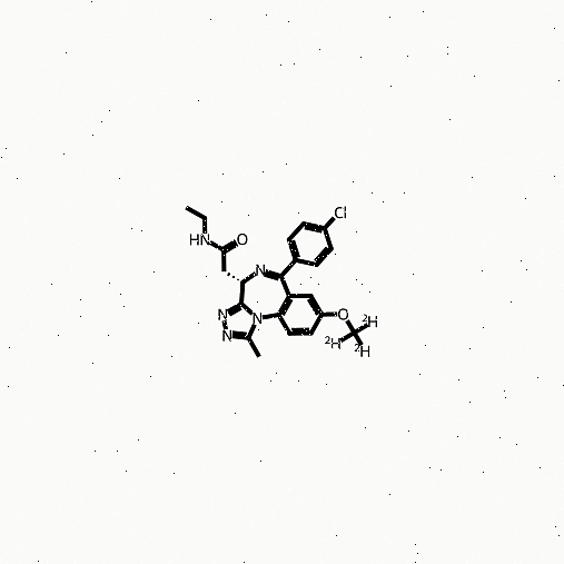 [2H]C([2H])([2H])Oc1ccc2c(c1)C(c1ccc(Cl)cc1)=N[C@@H](CC(=O)NCC)c1nnc(C)n1-2